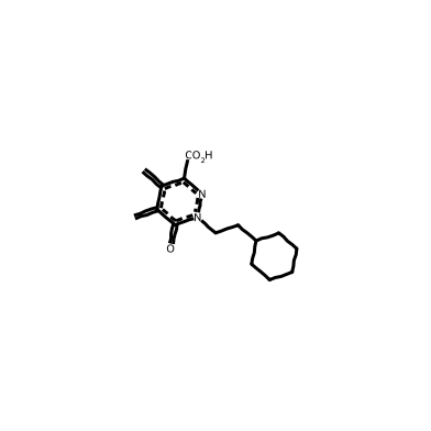 C=c1c(C(=O)O)nn(CCC2CCCCC2)c(=O)c1=C